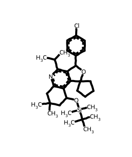 CC(C)c1nc2c(c3c1C(c1ccc(Cl)cc1)OC31CCCC1)C(O[Si](C)(C)C(C)(C)C)CC(C)(C)C2